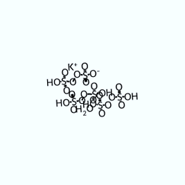 O.O=S(=O)(O)OOS(=O)(=O)O.O=S(=O)(O)OOS(=O)(=O)O.O=S(=O)([O-])OOS(=O)(=O)O.[K+]